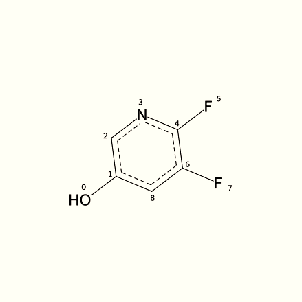 Oc1cnc(F)c(F)c1